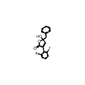 O=C1OC(O)(Cc2ccccc2)C=C1c1c(F)cccc1F